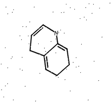 C1=C[N]C2=CCCC=C2C1